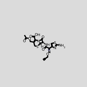 C#CCO/N=C(\C(=O)N[C@@H]1C(=O)N2C(C(=O)O)=C(COC(C)=O)CS[C@@H]12)c1csc(N)n1